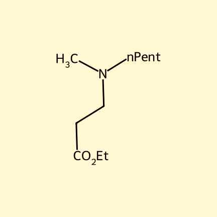 CCCCCN(C)CCC(=O)OCC